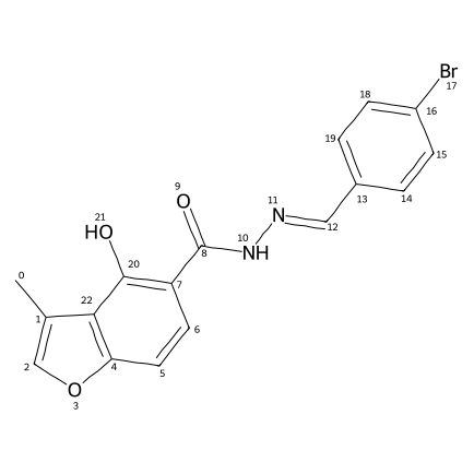 Cc1coc2ccc(C(=O)N/N=C/c3ccc(Br)cc3)c(O)c12